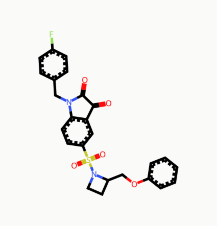 O=C1C(=O)N(Cc2ccc(F)cc2)c2ccc(S(=O)(=O)N3CCC3COc3ccccc3)cc21